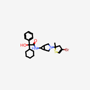 CC1(N2CC3C(C2)C3NC(=O)C(O)(c2ccccc2)C2CCCCC2)CC(Br)=CS1